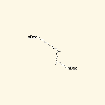 CCCCCCCCCCCCCCCCCCCC(C)CCCC(C)CCCCCCCCCCCCCC